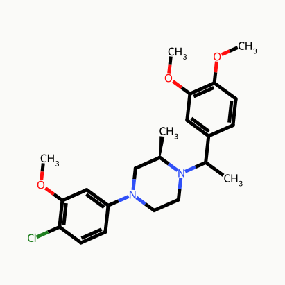 COc1cc(N2CCN(C(C)c3ccc(OC)c(OC)c3)[C@H](C)C2)ccc1Cl